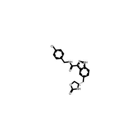 O=C1N[C@@H](Cc2ccc3[nH]nc(C(=O)NCc4ccc(Cl)cc4)c3c2)CO1